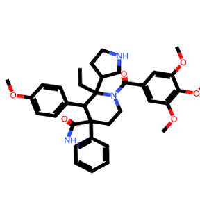 CCC1(C2CCNC2)C(c2ccc(OC)cc2)C(C(N)=O)(c2ccccc2)CCN1C(=O)c1cc(OC)c(OC)c(OC)c1